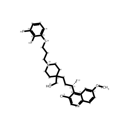 COc1ccc2ncc(Cl)c([C@@H](F)CCC3(CO)CCN(CCCSc4cccc(F)c4F)CC3)c2c1